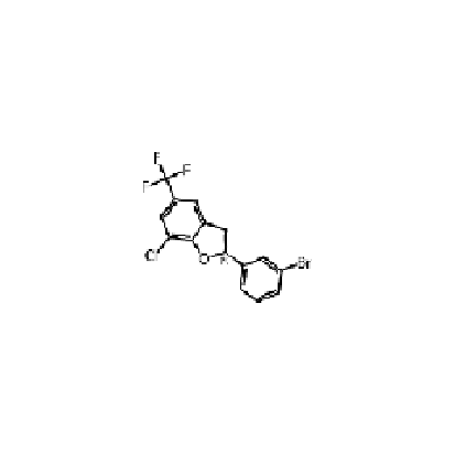 FC(F)(F)c1cc(Cl)c2c(c1)C[C@@H](c1cccc(Br)c1)O2